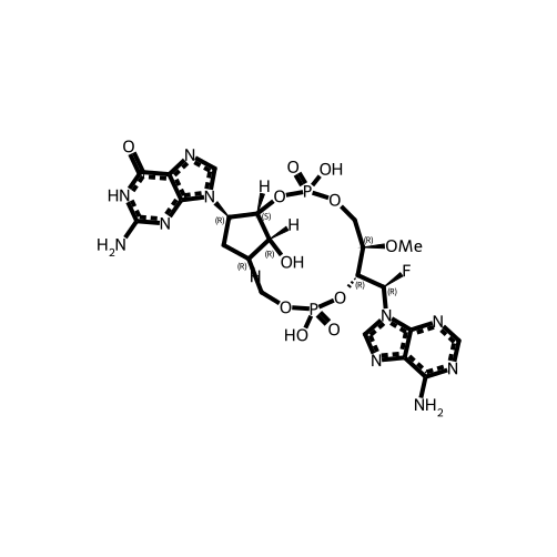 CO[C@@H]1COP(=O)(O)O[C@@H]2[C@H](O)[C@@H](COP(=O)(O)O[C@H]1[C@@H](F)n1cnc3c(N)ncnc31)C[C@H]2n1cnc2c(=O)[nH]c(N)nc21